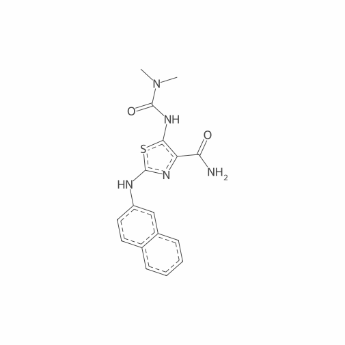 CN(C)C(=O)Nc1sc(Nc2ccc3ccccc3c2)nc1C(N)=O